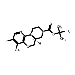 Cc1c(Br)cnc2c1OC[C@@H]1CN(C(=O)OC(C)(C)C)CCN21